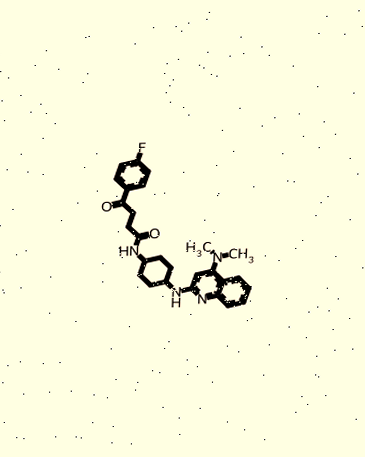 CN(C)c1cc(NC2CCC(NC(=O)CCC(=O)c3ccc(F)cc3)CC2)nc2ccccc12